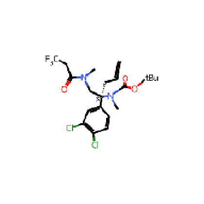 C=CC[C@@](CN(C)C(=O)CC(F)(F)F)(c1ccc(Cl)c(Cl)c1)N(C)C(=O)OC(C)(C)C